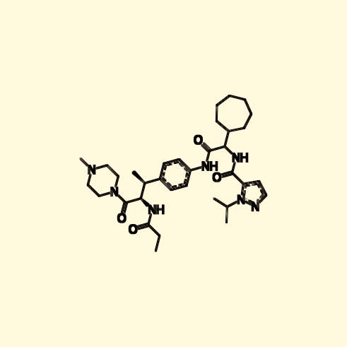 CCC(=O)N[C@@H](C(=O)N1CCN(C)CC1)[C@@H](C)c1ccc(NC(=O)C(NC(=O)c2ccnn2C(C)C)C2CCCCCC2)cc1